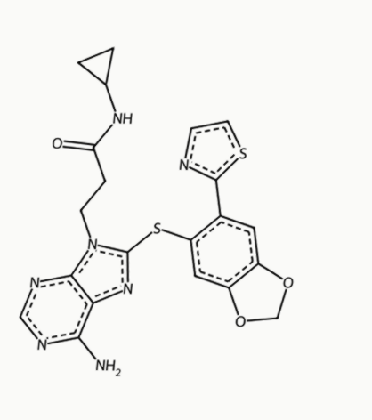 Nc1ncnc2c1nc(Sc1cc3c(cc1-c1nccs1)OCO3)n2CCC(=O)NC1CC1